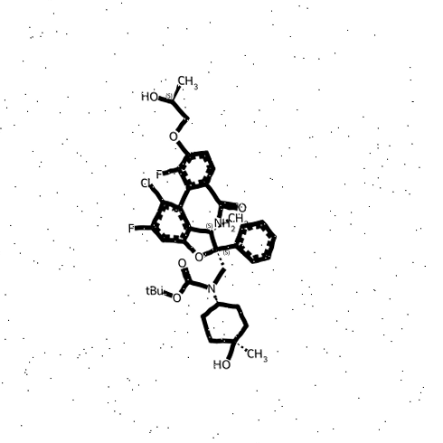 C[C@H](O)COc1ccc(C(N)=O)c(-c2c(Cl)c(F)cc3c2[C@H](C)[C@@](CN(C(=O)OC(C)(C)C)[C@H]2CC[C@](C)(O)CC2)(c2ccccc2)O3)c1F